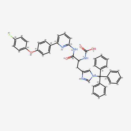 O=C(O)NC(Cc1cn(C(c2ccccc2)(c2ccccc2)c2ccccc2)cn1)C(=O)Nc1cccc(-c2ccc(Oc3ccc(F)cc3)cc2)n1